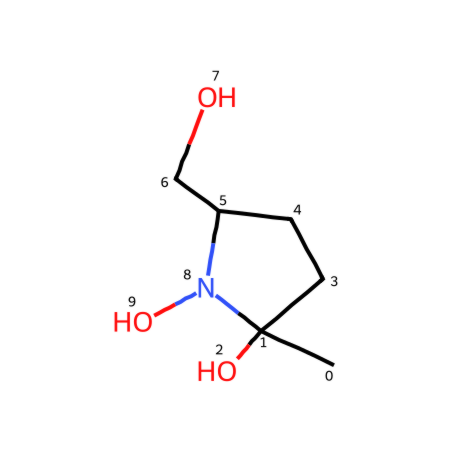 CC1(O)CCC(CO)N1O